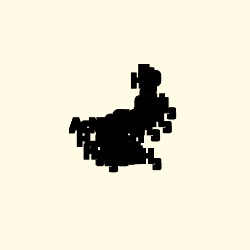 CC(=O)N[C@H](CCNC(=O)c1cc(NC(=O)c2cc(NC(=O)c3cc(NC(=O)c4nccn4C)cn3C)cn2C)cn1C)C(=O)Nc1cn(C)c(C(=O)Nc2cc(C(=O)Nc3cc(C(=O)Nc4cc(C(=O)NCCOCCOCCNC(=O)c5cccc(F)c5)n(C)c4)n(C)c3)n(C)c2)n1